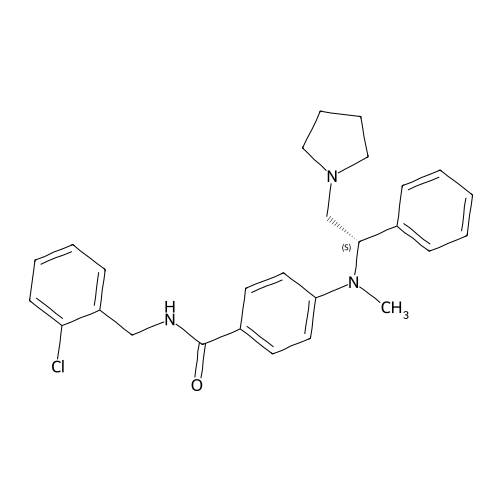 CN(c1ccc(C(=O)NCc2ccccc2Cl)cc1)[C@H](CN1CCCC1)c1ccccc1